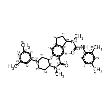 Cc1ccc(NC(=O)N(C)C2CCc3ccc(C(=O)N(C)C4CCN(c5cc(C)nc(C)c5)CC4)cc32)c(C)c1